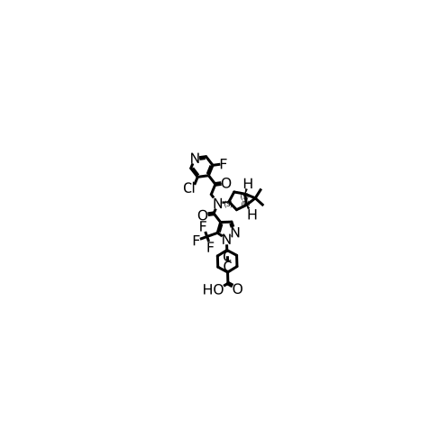 CC1(C)[C@@H]2C[C@@H](N(CC(=O)c3c(F)cncc3Cl)C(=O)c3cnn(C45CCC(C(=O)O)(CC4)CC5)c3C(F)(F)F)C[C@@H]21